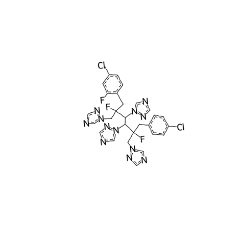 Fc1cc(Cl)ccc1CC(F)(Cn1cncn1)C(C(n1cncn1)C(F)(Cc1ccc(Cl)cc1)Cn1cncn1)n1cncn1